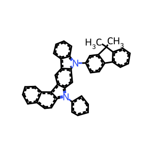 CC1(C)c2ccccc2-c2ccc(-n3c4ccccc4c4cc5c6c7ccccc7ccc6n(-c6ccccc6)c5cc43)cc21